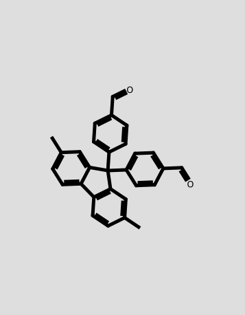 Cc1ccc2c(c1)C(c1ccc(C=O)cc1)(c1ccc(C=O)cc1)c1cc(C)ccc1-2